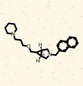 c1ccc2cc(CN3C[C@@H]4C(COCCCN5CCCCC5)[C@@H]4C3)ccc2c1